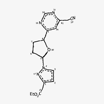 CCOC(=O)c1ccn(C2CCC(c3cc(C#N)ncn3)O2)n1